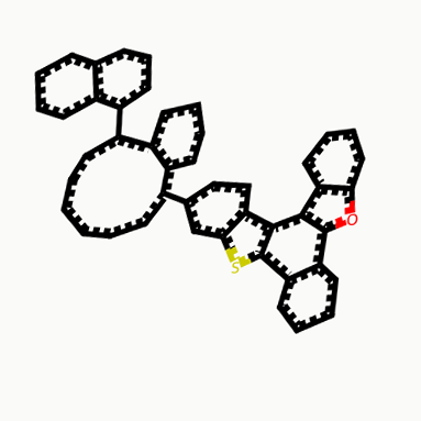 c1cccc(-c2cccc3ccccc23)c2ccccc2c(-c2ccc3c(c2)sc2c4ccccc4c4oc5ccccc5c4c32)cc1